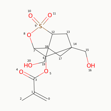 C=C(C)C(=O)OC1C2OS(=O)(=O)C3CC1(CO)CC23CO